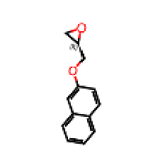 c1ccc2cc(OC[C@H]3CO3)ccc2c1